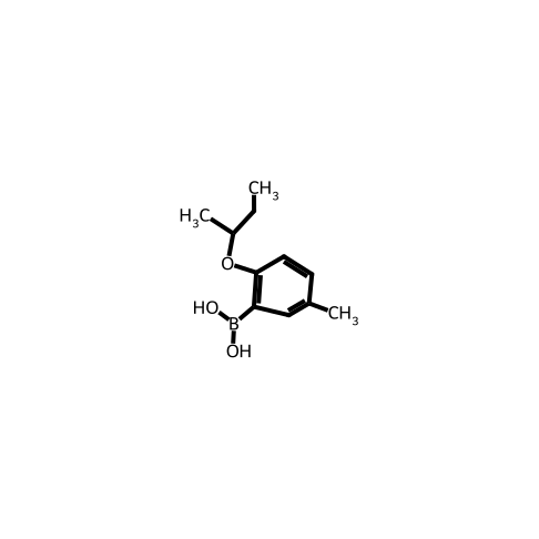 CCC(C)Oc1ccc(C)cc1B(O)O